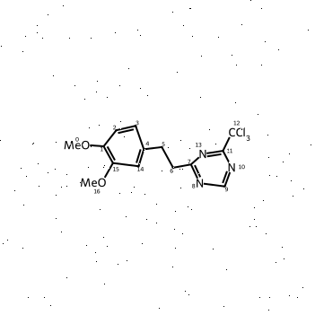 COc1ccc(CCc2ncnc(C(Cl)(Cl)Cl)n2)cc1OC